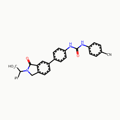 CC(C)C(C(=O)O)N1Cc2ccc(-c3ccc(NC(=O)Nc4ccc(C#N)cc4)cc3)cc2C1=O